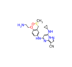 C[S+]([O-])Cc1cc(Nc2cc(NC3CC3)n3ncc(C#N)c3n2)ccc1OCCN